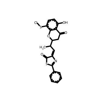 CC(C=C1N=C(c2ccccc2)SC1=O)C1CC(=O)c2c(O)ccc(SCl)c2O1